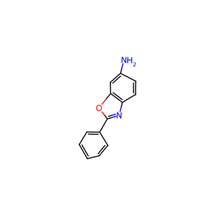 Nc1ccc2nc(-c3ccccc3)oc2c1